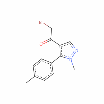 Cc1ccc(-c2c(C(=O)CBr)cnn2C)cc1